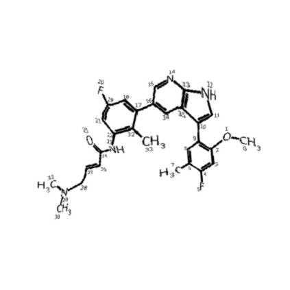 COc1cc(F)c(C)cc1-c1c[nH]c2ncc(-c3cc(F)cc(NC(=O)C=CCN(C)C)c3C)cc12